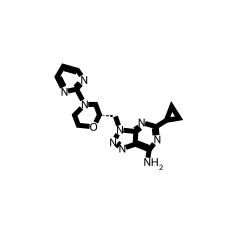 Nc1nc(C2CC2)nc2c1nnn2C[C@H]1CN(c2ncccn2)CCO1